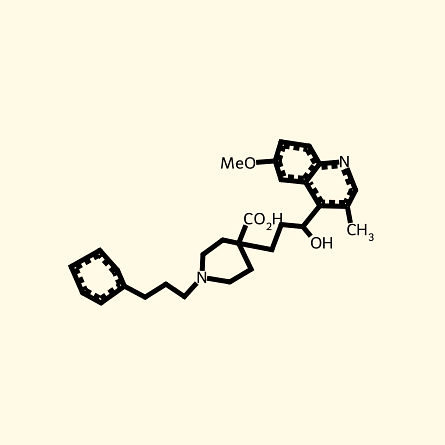 COc1ccc2ncc(C)c(C(O)CCC3(C(=O)O)CCN(CCCc4ccccc4)CC3)c2c1